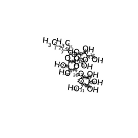 CCCCC(CC)C(=O)O[C@H]1[C@@H](O[C@]2(CO)O[C@H](CO)[C@@H](O)[C@@H]2O)O[C@H](CO[C@H]2O[C@H](CO)[C@H](O)[C@H](O)[C@H]2O)[C@@H](O)[C@@H]1O